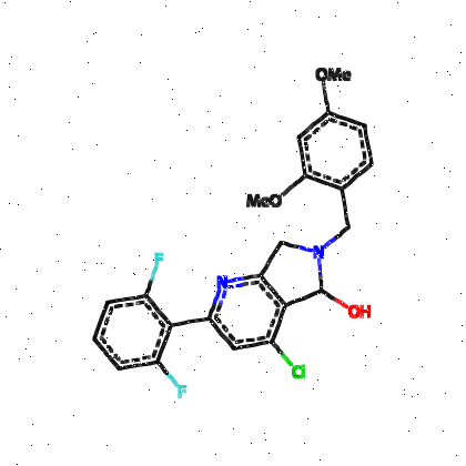 COc1ccc(CN2Cc3nc(-c4c(F)cccc4F)cc(Cl)c3C2O)c(OC)c1